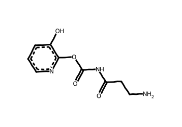 NCCC(=O)NC(=O)Oc1ncccc1O